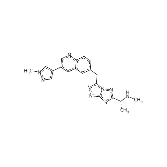 CN[C@H](C)c1nn2c(Cc3ccc4ncc(-c5cnn(C)c5)cc4c3)nnc2s1